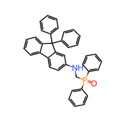 O=P(CNc1ccc2c(c1)C(c1ccccc1)(c1ccccc1)c1ccccc1-2)(c1ccccc1)c1ccccc1